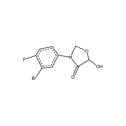 O=C1C(O)OCN1c1ccc(F)c(Br)c1